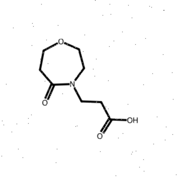 O=C(O)CCN1CCOCCC1=O